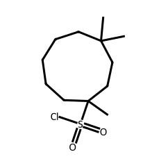 CC1(C)CCCCCC(C)(S(=O)(=O)Cl)CC1